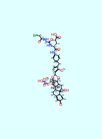 COc1c(Cc2ccc(NC(=O)[C@H](CCC(=O)O)NC(=O)CNC(=O)CBr)cc2)csc1[C@@H]1O[C@@H]2C[C@H]3[C@@H]4CCC5=CC(=O)C=C[C@]5(C)[C@H]4[C@@H](O)C[C@]3(C)[C@]2(C(=O)COP(=O)(O)O)O1